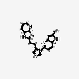 CC(C)C1=CC2N=C(n3cncc3CCC3=NC4N=CC=CC4N3)C=CC2N1